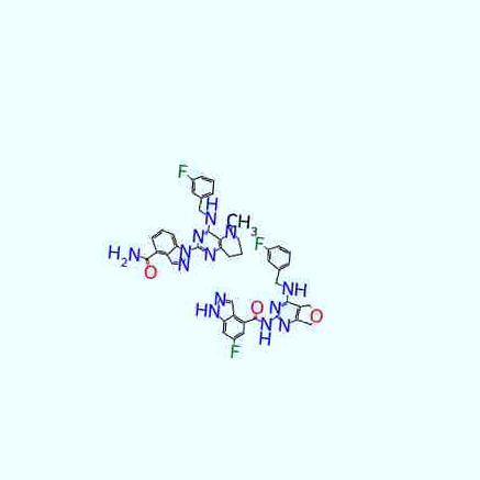 CN1CCCc2nc(-n3ncc4c(C(N)=O)cccc43)nc(NCc3cccc(F)c3)c21.O=C(Nc1nc2c(c(NCc3cccc(F)c3)n1)COC2)c1cc(F)cc2[nH]ncc12